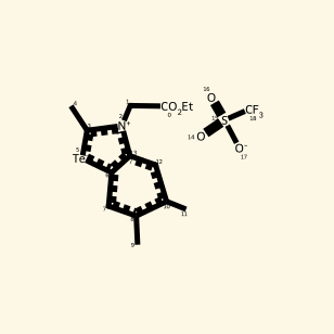 CCOC(=O)C[n+]1c(C)[te]c2cc(C)c(C)cc21.O=S(=O)([O-])C(F)(F)F